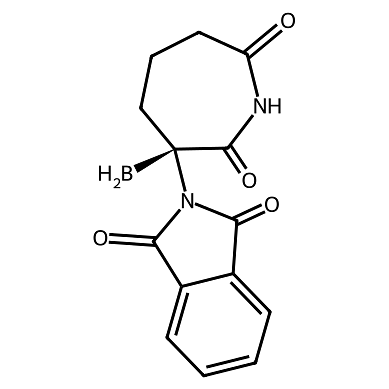 B[C@@]1(N2C(=O)c3ccccc3C2=O)CCCC(=O)NC1=O